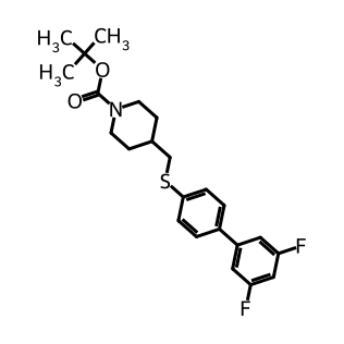 CC(C)(C)OC(=O)N1CCC(CSc2ccc(-c3cc(F)cc(F)c3)cc2)CC1